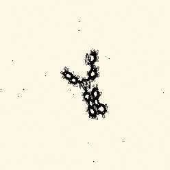 C1=CC2=C(CC1)c1ccccc1C21c2ccccc2-c2ccc(-c3nc(-c4cccc(-c5cccnc5)c4)cc(-c4ccc5ccccc5c4)n3)cc21